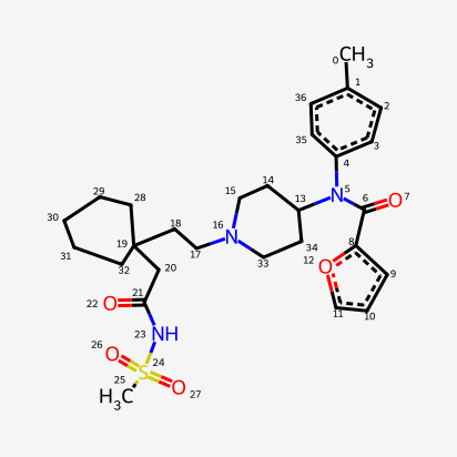 Cc1ccc(N(C(=O)c2ccco2)C2CCN(CCC3(CC(=O)NS(C)(=O)=O)CCCCC3)CC2)cc1